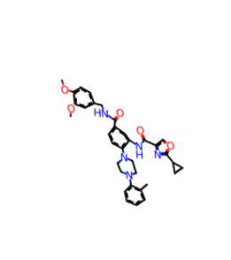 COc1ccc(CNC(=O)c2ccc(N3CCN(c4ccccc4C)CC3)c(NC(=O)c3coc(C4CC4)n3)c2)cc1OC